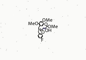 COC(=O)/C(O)=C/C(=O)N(Cc1ccc(F)cc1)Cc1ccc(OC)cc1OC